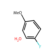 COc1ccc(F)cc1.O